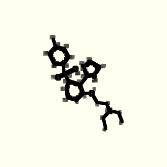 CCN(CC)CCOc1cccc(S(=O)(=O)c2ccc(C)cc2)c1-c1nccs1